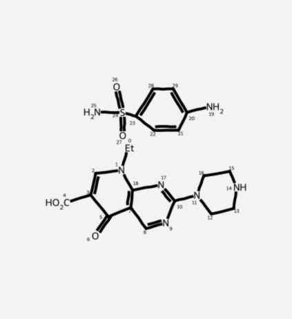 CCn1cc(C(=O)O)c(=O)c2cnc(N3CCNCC3)nc21.Nc1ccc(S(N)(=O)=O)cc1